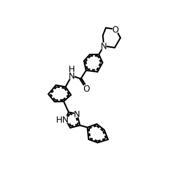 O=C(Nc1cccc(-c2nc(-c3ccccc3)c[nH]2)c1)c1ccc(N2CCOCC2)cc1